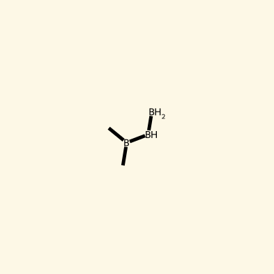 BBB(C)C